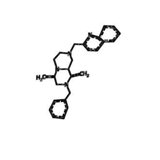 C=C1C2CN(Cc3ccc4ccccc4n3)CCN2C(=C)CN1Cc1ccccc1